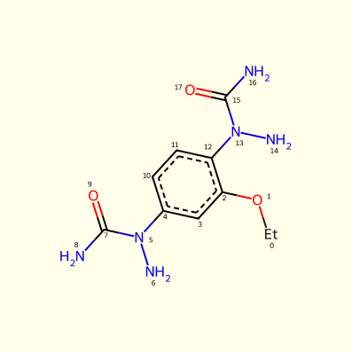 CCOc1cc(N(N)C(N)=O)ccc1N(N)C(N)=O